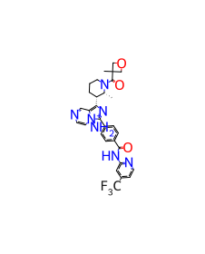 C[C@@H]1[C@H](C2=C3C=NC=C[N+]3(N)C(c3ccc(C(=O)Nc4cc(C(F)(F)F)ccn4)cc3)=N2)CCCN1C(=O)C1(C)COC1